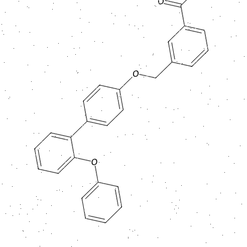 O=C(O)c1cccc(COc2ccc(-c3ccccc3Oc3ccccc3)cc2)c1